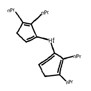 CCCC1=C(CCC)[C]([Hf][C]2=CCC(CCC)=C2CCC)=CC1